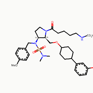 COc1ccc(CN([C@H]2CCN(C(=O)CCCCNC(=O)O)[C@H]2COC2CCC(c3cccc(O)c3)CC2)S(=O)(=O)N(C)C)cc1